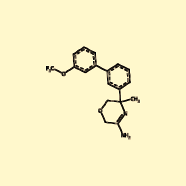 CC1(c2cccc(-c3cccc(OC(F)(F)F)c3)c2)COCC(N)=N1